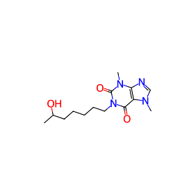 CC(O)CCCCCn1c(=O)c2c(ncn2C)n(C)c1=O